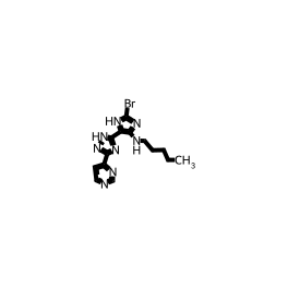 CCCCCNc1nc(Br)[nH]c1-c1nc(-c2ccncn2)n[nH]1